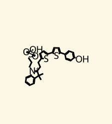 CC1(C)C(CCc2ccc(-c3ccc(-c4ccc(O)cc4)s3)s2)=[N+](CCCS(=O)(=O)O)c2ccccc21